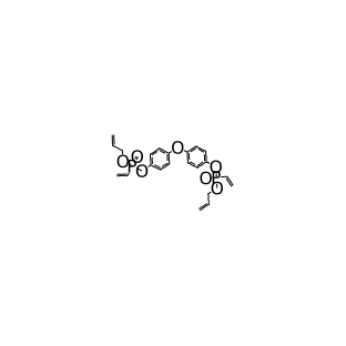 C=CCOP(=O)(C=C)Oc1ccc(Oc2ccc(OP(=O)(C=C)OCC=C)cc2)cc1